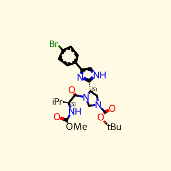 COC(=O)N[C@H](C(=O)N1CN(C(=O)OC(C)(C)C)C[C@H]1c1nc(-c2ccc(Br)cc2)c[nH]1)C(C)C